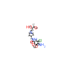 COc1c(C(=O)NCC2CCN(CCC(O)C(C)=O)CC2)cc(Cl)c(N)c1OC